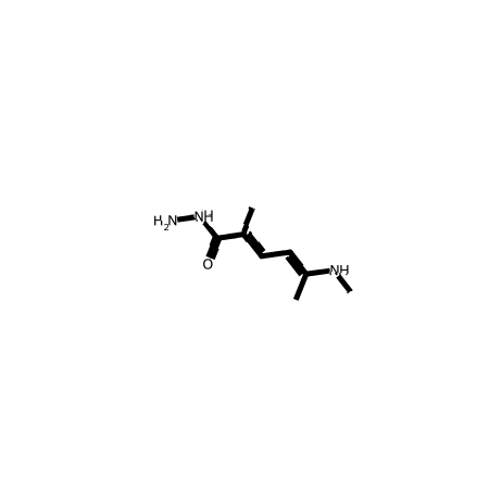 CN/C(C)=C/C=C(\C)C(=O)NN